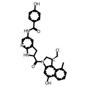 Cc1cccc2c(O)cc3c(c12)[C@H](CCl)CN3C(=O)C1Cc2cc(NC(=O)c3ccc(O)cc3)cnc2N1